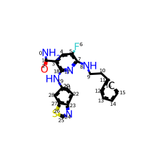 NC(=O)c1cc(F)c(NCCc2ccccc2)nc1Nc1ccc2ncsc2c1